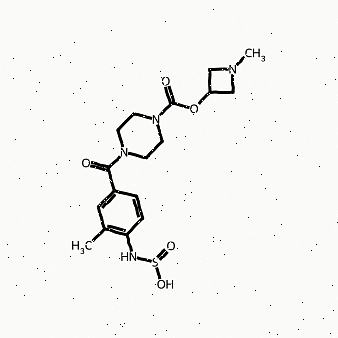 Cc1cc(C(=O)N2CCN(C(=O)OC3CN(C)C3)CC2)ccc1NS(=O)O